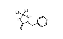 CCC1(CC)NC(=S)N(Cc2ccccc2)N1